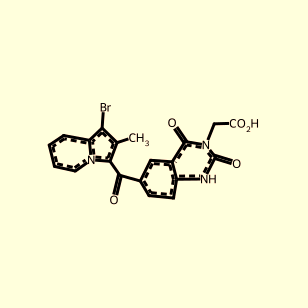 Cc1c(Br)c2ccccn2c1C(=O)c1ccc2[nH]c(=O)n(CC(=O)O)c(=O)c2c1